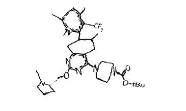 Cc1cc(C)c(C(F)(F)F)c(C2Cc3nc(OC[C@@H]4CCCN4C)nc(N4CCN(C(=O)OC(C)(C)C)CC4)c3CC2C)n1